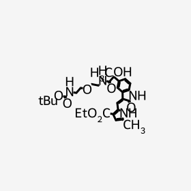 CCOC(=O)c1cc(C)[nH]c1/C=C1\C(=O)Nc2ccc([C@](C)(O)C(=O)NCCOCCNC(=O)OC(C)(C)C)cc21